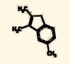 CC1=C(C)c2cc(C)ccc2C1